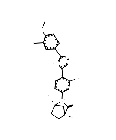 COc1cc(N2C(=O)[C@@H]3CC[C@H]2C3)ccc1-c1nc(-c2ccc(OC(C)C)c(Cl)c2)no1